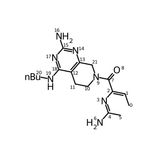 C/C=C(\N=C(/C)N)C(=O)N1CCc2c(nc(N)nc2NCCCC)C1